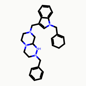 C1=CC(Cn2cc(CN3CCN4CCN(Cc5ccccc5)NC4C3)c3ccccc32)=CCC1